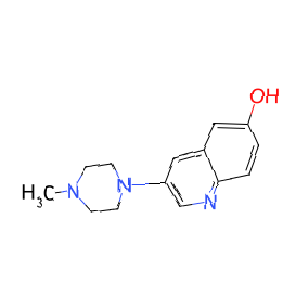 CN1CCN(c2cnc3ccc(O)cc3c2)CC1